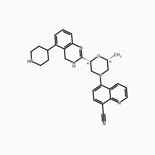 C[C@@H]1CN(c2ccc(C#N)c3ncccc23)C[C@H](C2=Nc3cccc(C4CCNCC4)c3CN2)O1